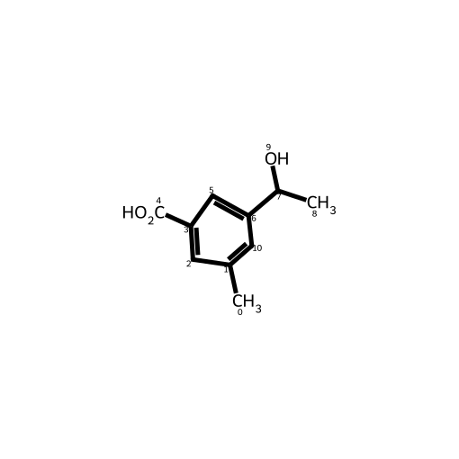 Cc1cc(C(=O)O)cc(C(C)O)c1